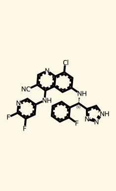 N#Cc1cnc2c(Cl)cc(N[C@H](c3c[nH]nn3)c3ccccc3F)cc2c1Nc1cnc(F)c(F)c1